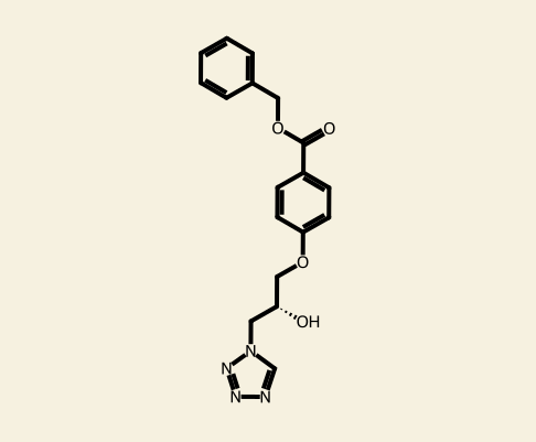 O=C(OCc1ccccc1)c1ccc(OC[C@H](O)Cn2cnnn2)cc1